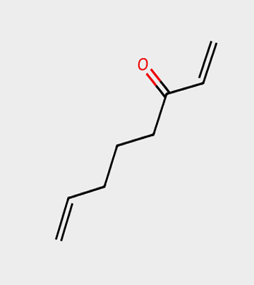 C=CCCCC(=O)C=C